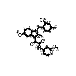 COc1ccc2c(c1)c(C(=O)C(=O)Nc1ccnc(OC)c1)c(C)n2Cc1ccc(F)cc1Cl